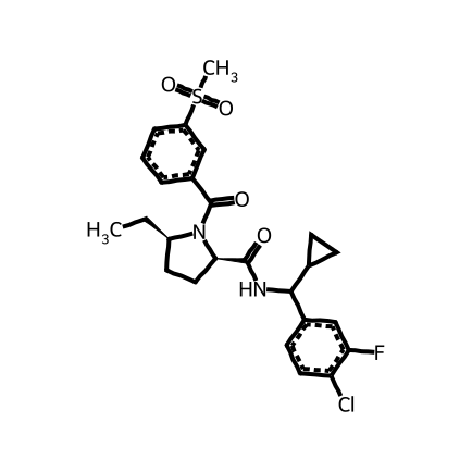 CC[C@@H]1CC[C@H](C(=O)NC(c2ccc(Cl)c(F)c2)C2CC2)N1C(=O)c1cccc(S(C)(=O)=O)c1